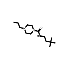 CCCN1CCN(C(=O)NCCC(C)(C)C)CC1